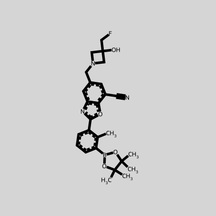 Cc1c(B2OC(C)(C)C(C)(C)O2)cccc1-c1nc2cc(CN3CC(O)(CF)C3)cc(C#N)c2o1